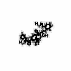 CCN1CCN(CC(O)CCc2ccccc2CN)C(=O)c2ccc(C(=O)N(C)Cc3ccccc3)cc21